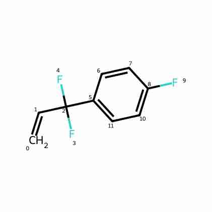 C=CC(F)(F)c1ccc(F)cc1